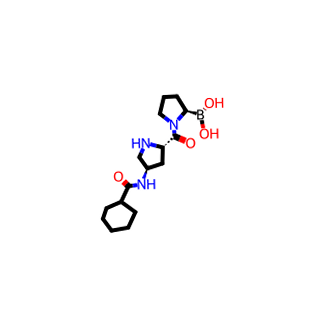 O=C(N[C@H]1CN[C@H](C(=O)N2CCC[C@H]2B(O)O)C1)C1CCCCC1